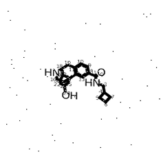 O=C(NCC1CCC1)c1ccc2c(c1)C13CCNC(C2)C1CCC(O)C3